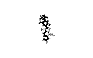 CCC1=C(c2c(C)cnn2C)CC(=S)C(C(=O)N[C@H](CN)Cc2ccc(F)cc2)=C1